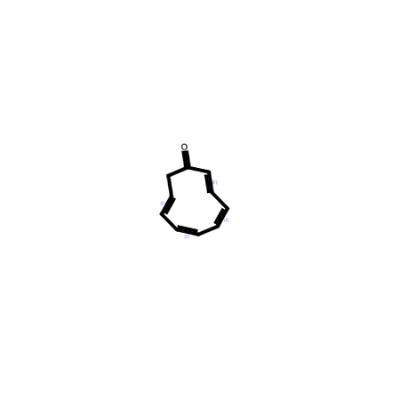 O=C1/C=C/C=C\C=C/C=C/C1